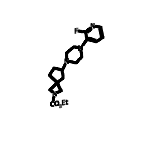 CCOC(=O)N1CC2(CCC(N3CCN(c4cccnc4F)CC3)C2)C1